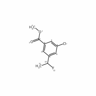 COC(=O)c1cc(Cl)cc(C(C)F)c1